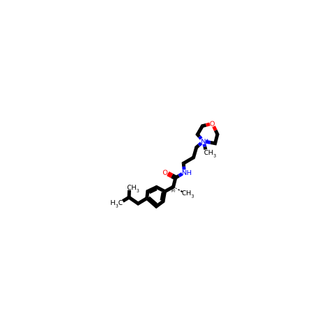 CC(C)Cc1ccc([C@@H](C)C(=O)NCCC[N+]2(C)CCOCC2)cc1